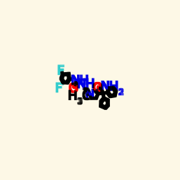 C[N+]1(CCNC(=O)Nc2cc(F)cc(F)c2)CCC(C(C(N)=O)(c2ccccc2)c2ccccc2)C1